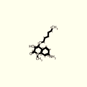 CCCCCCOc1c(O)c(=O)n(C)c2cc(N)ccc12